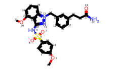 COc1ccc(S(=O)(=O)Nc2nn(Cc3cccc(CCC(N)=O)c3)c3cccc(OC)c23)cc1